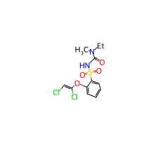 CCN(C)C(=O)NS(=O)(=O)c1ccccc1O/C(Cl)=C/Cl